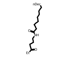 CCCCCCCCCCCCCCCCCC(=O)NCCCC(=O)CC